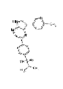 Cc1ccc(-c2c[nH]c3ncc(-c4ccc(S(=O)(=O)C(C)C)cc4)nc23)cn1